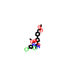 CCOC(=O)Cc1ccc(-c2ccc(-c3onc(C)c3N(C(=O)OCC)c3ccc(Cl)cc3Cl)cc2)cc1